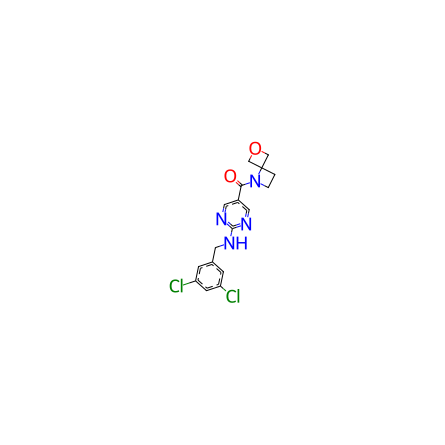 O=C(c1cnc(NCc2cc(Cl)cc(Cl)c2)nc1)N1CCC12COC2